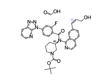 CC(C)(C)OC(=O)N1CCC[C@@H](N(C(=O)c2ccc(-n3nnc4cccnc43)cc2F)c2nccc3ccc(/C=C\CO)cc23)C1.O=CO